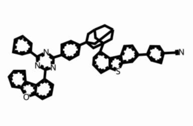 N#Cc1ccc(-c2ccc3c(c2)sc2cccc(C45CC6CC(CC(c7ccc(-c8nc(-c9ccccc9)nc(-c9cccc%10oc%11ccccc%11c9%10)n8)cc7)(C6)C4)C5)c23)cc1